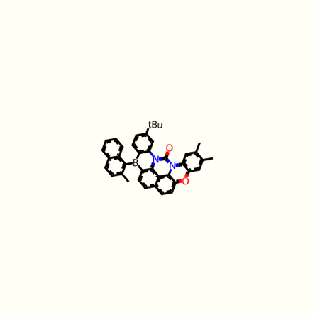 Cc1cc2oc3ccc4ccc5c6c4c3-n(c(=O)n6-c3cc(C(C)(C)C)ccc3B5c3c(C)ccc4ccccc34)c2cc1C